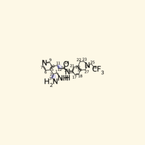 N=C/C(=C\N)c1ccncc1/C=C/C(=O)Nc1ccc2c(c1)CCN(CC(F)(F)F)C2